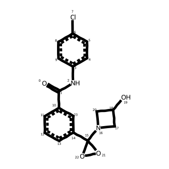 O=C(Nc1ccc(Cl)cc1)c1cccc(C2(N3CC(O)C3)OO2)c1